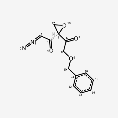 [N-]=[N+]=CC(=O)[C@]1(C(=O)COCc2ccccc2)CO1